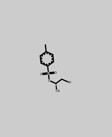 Cc1ccc(S(=O)(=O)O[C@H](C#N)CC(C)C)cc1